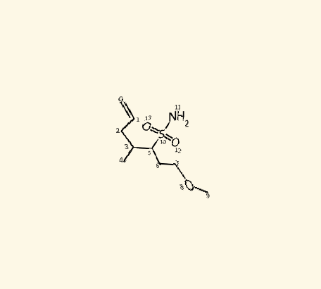 C=CCC(C)C(CCOC)S(N)(=O)=O